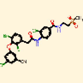 CS(=O)(=O)CCNC(=O)c1ccc(NC(=O)Cc2ccc(Br)c(Oc3cc(Cl)cc(C#N)c3)c2F)c(Cl)c1